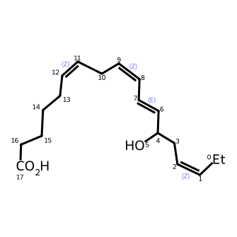 CC/C=C\CC(O)/C=C/C=C\C/C=C\CCCCC(=O)O